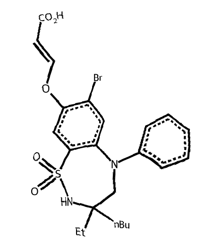 CCCCC1(CC)CN(c2ccccc2)c2cc(Br)c(O/C=C/C(=O)O)cc2S(=O)(=O)N1